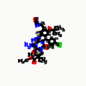 COC(=O)C(C)(C)CN1C(=O)N(N)C(Nc2ccc(OC(C)C)c(CN=O)c2)N(Cc2ccc(Cl)cc2)C1=O